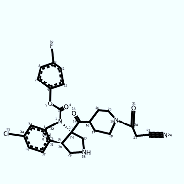 CCN(C(=O)Oc1ccc(F)cc1)[C@]1(C(=O)C2CCN(C(=O)CC#N)CC2)CNC[C@H]1c1ccc(Cl)cc1